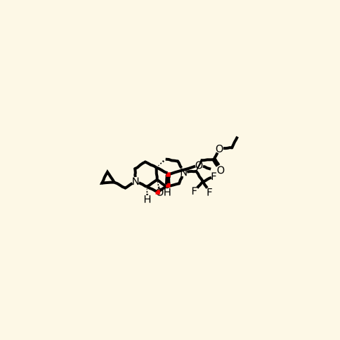 CCOC(=O)C[C@H](N1CC[C@]23CCN(CC4CC4)[C@H](Cc4ccc(OC)cc42)[C@]3(O)CC1)C(F)(F)F